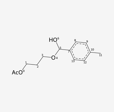 CC(=O)OCCCOC(O)c1ccc(C)cc1